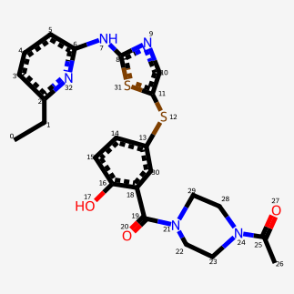 CCc1cccc(Nc2ncc(Sc3ccc(O)c(C(=O)N4CCN(C(C)=O)CC4)c3)s2)n1